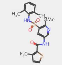 COc1ncc(NC(=O)c2sccc2C(F)(F)F)cc1S(=O)(=O)Nc1c(C)cccc1C